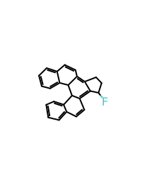 FC1CCC2=C3C=Cc4ccccc4C3C3C(=C21)C=Cc1ccccc13